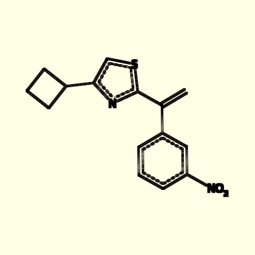 C=C(c1cccc([N+](=O)[O-])c1)c1nc(C2CCC2)cs1